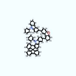 c1ccc(-n2c3ccccc3c3cc(-c4ccc5oc6cccc(-c7ccc8c(c7)c7ccc9c(c7n8-c7ccccc7)-c7ccccc7C97c8ccccc8-c8ccccc87)c6c5c4)ccc32)cc1